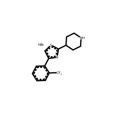 Br.FC(F)(F)c1ccccc1-c1csc(C2CCNCC2)n1